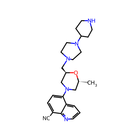 C[C@@H]1CN(c2ccc(C#N)c3ncccc23)C[C@@H](CN2CCN(C3CCNCC3)CC2)O1